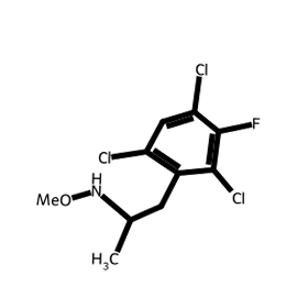 CONC(C)Cc1c(Cl)cc(Cl)c(F)c1Cl